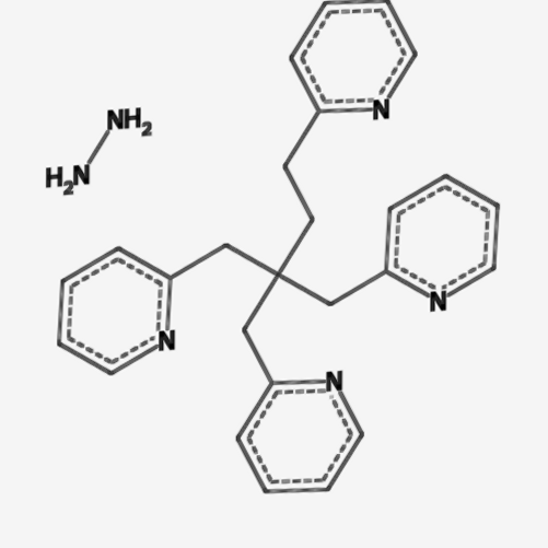 NN.c1ccc(CCC(Cc2ccccn2)(Cc2ccccn2)Cc2ccccn2)nc1